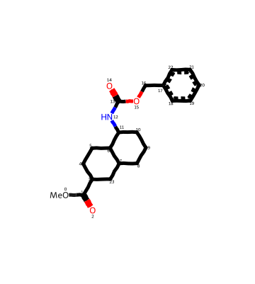 COC(=O)C1CCC2C(CCCC2NC(=O)OCc2ccccc2)C1